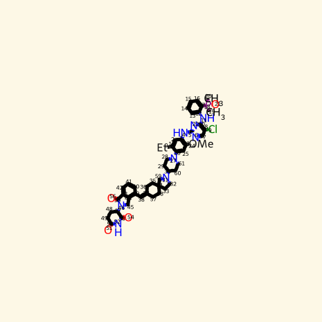 CCc1cc(Nc2ncc(Cl)c(Nc3ccccc3P(C)(C)=O)n2)c(OC)cc1N1CCC(N2CCC3(CCC(=Cc4cccc5c4CN(C4CCC(=O)NC4=O)C5=O)CC3)C2)CC1